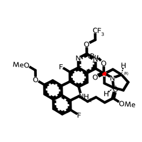 COCOc1cc(-c2c(N)cc3c(N4C[C@H]5CC[C@@H](C4)N5C(=O)OC(C)(C)C)nc(OCC(F)(F)F)nc3c2F)c2c(CCCCC(=O)OC)c(F)ccc2c1